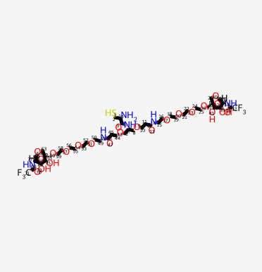 NC(CS)C(=O)NC(COCCC(=O)NCCOCCOCCOCCOC[C@@]12CO[C@@H](O1)[C@@H](NC(=O)C(F)(F)F)[C@@H](O)[C@H]2O)COCCC(=O)NCCOCCOCCOCCOC[C@@]12CO[C@@H](O1)[C@@H](NC(=O)C(F)(F)F)[C@@H](O)[C@H]2O